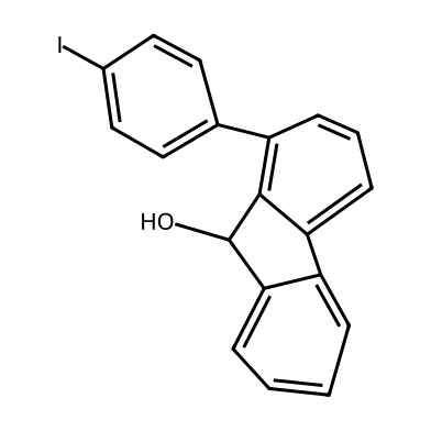 OC1c2ccccc2-c2cccc(-c3ccc(I)cc3)c21